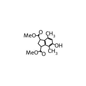 COC(=O)C1CC(C(=O)OC)c2c(C)c(O)cc(C)c21